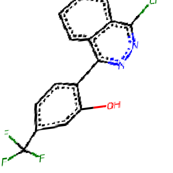 Oc1cc(C(F)(F)F)ccc1-c1nnc(Cl)c2ccccc12